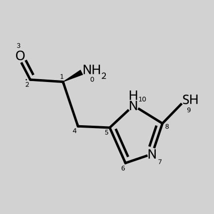 N[C@H]([C]=O)Cc1cnc(S)[nH]1